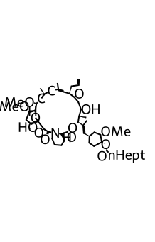 C=CC[C@@H]1/C=C(\C)C[C@H](C)C[C@H](OC)[C@H]2O[C@@](O)(C(=O)C(=O)N3CCCC[C@H]3C(=O)O[C@H](/C(C)=C/[C@@H]3CC[C@@H](OC(=O)CCCCCCC)[C@H](OC)C3)[C@H](C)[C@@H](O)CC1=O)[C@H](C)C[C@@H]2OC